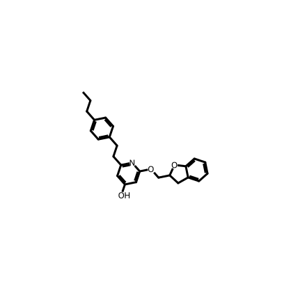 CCCc1ccc(CCc2cc(O)cc(OCC3Cc4ccccc4O3)n2)cc1